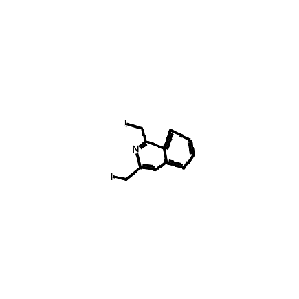 ICc1cc2ccccc2c(CI)n1